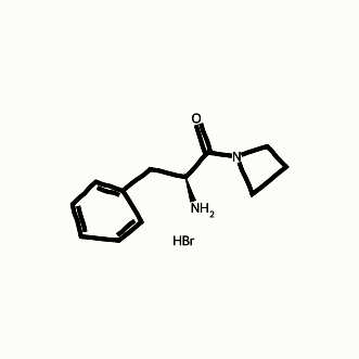 Br.N[C@@H](Cc1ccccc1)C(=O)N1CCC1